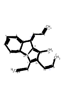 C=C/C=c1/c2ccccc2n2c(C=C)c(/C=C\C)c(C)c12